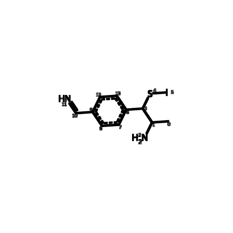 CC(N)C(SI)c1ccc(C=N)cc1